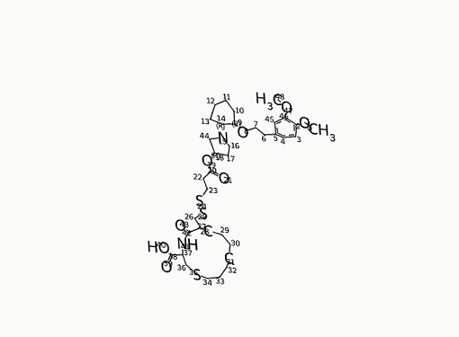 COc1ccc(CCO[C@@H]2CCCC[C@H]2N2CC[C@@H](OC(=O)CCSSCC3CCCCCCCSCC(C(=O)O)NC3=O)C2)cc1OC